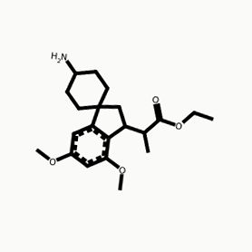 CCOC(=O)C(C)C1CC2(CCC(N)CC2)c2cc(OC)cc(OC)c21